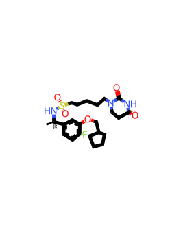 C[C@@H](NS(=O)(=O)CCCCCN1CCC(=O)NC1=O)c1ccc(F)c(OCC2CCCC2)c1